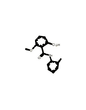 COc1cccc(Cl)c1C(=O)Pc1ccccc1C.[LiH]